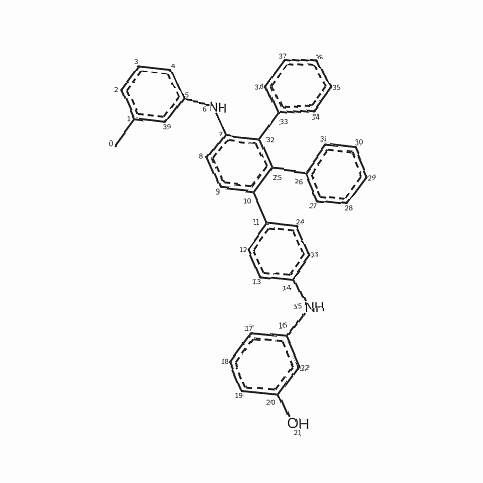 Cc1cccc(Nc2ccc(-c3ccc(Nc4cccc(O)c4)cc3)c(-c3ccccc3)c2-c2ccccc2)c1